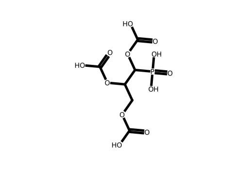 O=C(O)OCC(OC(=O)O)C(OC(=O)O)P(=O)(O)O